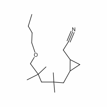 CCCCOCC(C)(C)CC(C)(C)CC1CC1CC#N